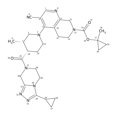 C[C@@H]1CN(c2c(C#N)cnc3c2CCN(C(=O)OC2(C)CC2)C3)CC[C@@H]1C(=O)N1CCn2c(nnc2C2CC2)C1